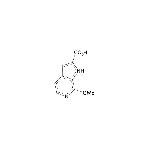 COc1nccc2cc(C(=O)O)[nH]c12